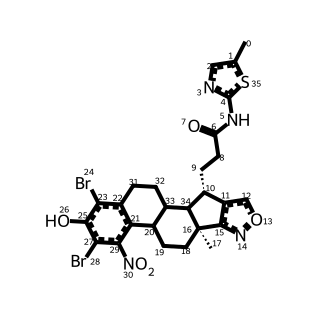 Cc1cnc(NC(=O)CC[C@@H]2c3conc3[C@@]3(C)CCC4c5c(c(Br)c(O)c(Br)c5[N+](=O)[O-])CCC4C23)s1